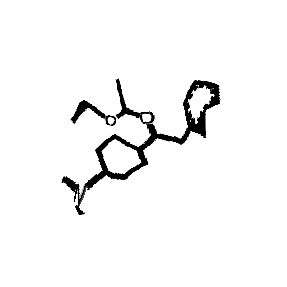 CCOC(C)OC(Cc1ccccc1)C1CCC(N(C)C)CC1